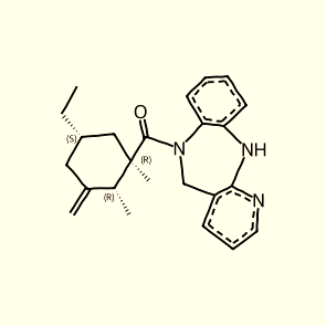 C=C1C[C@H](CC)C[C@@](C)(C(=O)N2Cc3cccnc3Nc3ccccc32)[C@@H]1C